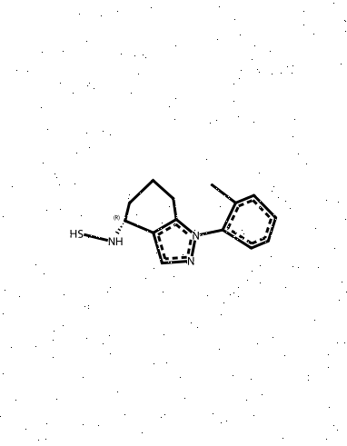 Cc1ccccc1-n1ncc2c1CCC[C@H]2NS